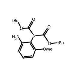 COc1cccc(N)c1N(C(=O)OC(C)(C)C)C(=O)OC(C)(C)C